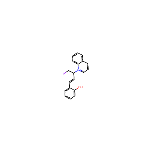 Oc1ccccc1C=CC(CI)[n+]1cccc2ccccc21